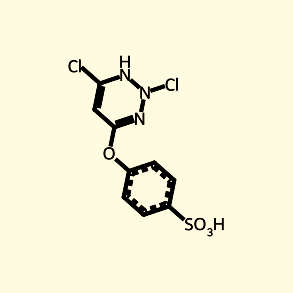 O=S(=O)(O)c1ccc(OC2=NN(Cl)NC(Cl)=C2)cc1